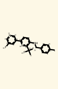 Cc1ccc(CNc2ccc(-c3cncc(F)c3)nc2C(C)(F)F)cc1